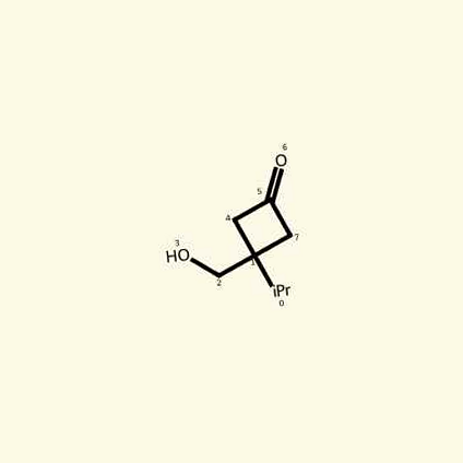 CC(C)C1(CO)CC(=O)C1